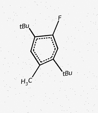 Cc1cc(C(C)(C)C)c(F)cc1C(C)(C)C